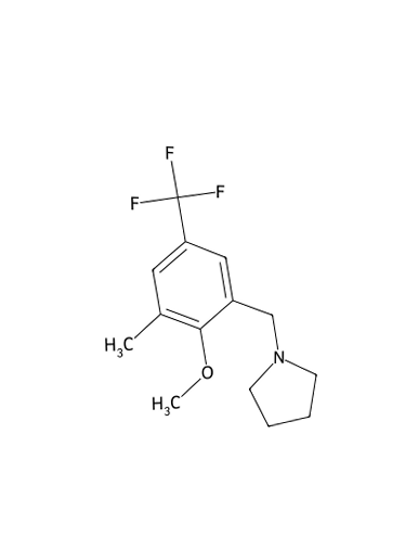 COc1c(C)cc(C(F)(F)F)cc1CN1CCCC1